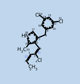 C/C=C\C(Cl)=C/c1c(Cc2cc(Cl)cc(Cl)c2)c[nH]c1C